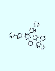 c1cncc(-c2ccc(-c3nc(-c4ccc(-c5cccnc5)nc4)nc(-c4cccc(-c5nc6ccccc6c6c7ccccc7c7ccccc7c56)c4)n3)cn2)c1